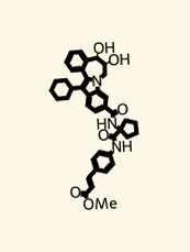 COC(=O)/C=C/c1ccc(NC(=O)C2(NC(=O)c3ccc4c(C5CCCCC5)c5n(c4c3)C[C@@H](O)[C@@H](O)c3ccccc3-5)CCCC2)cc1